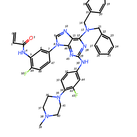 C=CC(=O)Nc1cc(-n2cnc3c(N(Cc4ccccc4)Cc4ccccc4)nc(Nc4ccc(N5CCN(C)CC5)c(F)c4)nc32)ccc1F